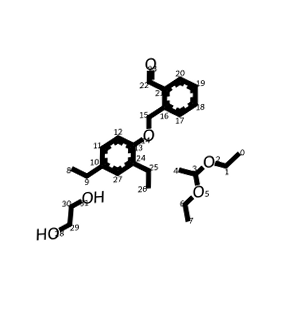 CCOC(C)OCC.CCc1ccc(OCc2ccccc2C=O)c(CC)c1.OCCO